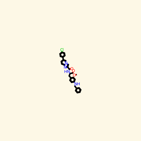 COC(=O)C(Cc1ccc(NCc2ccccc2)cc1)NC(=O)c1cn2cc(-c3ccc(Cl)cc3)ccc2n1